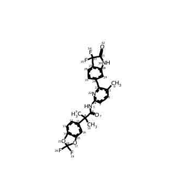 Cc1ccc(NC(=O)C(C)(C)c2ccc3c(c2)OC(F)(F)O3)nc1-c1ccc2c(c1)NC(=O)C2(F)F